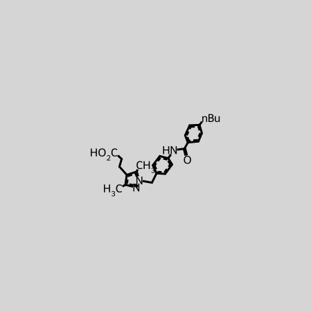 CCCCc1ccc(C(=O)Nc2ccc(Cn3nc(C)c(CCC(=O)O)c3C)cc2)cc1